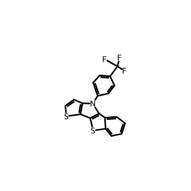 FC(F)(F)c1ccc(-n2c3ccsc3c3sc4ccccc4c32)cc1